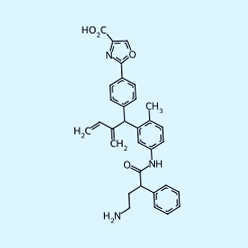 C=CC(=C)C(c1ccc(-c2nc(C(=O)O)co2)cc1)c1cc(NC(=O)C(CCN)c2ccccc2)ccc1C